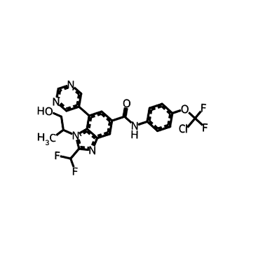 CC(CO)n1c(C(F)F)nc2cc(C(=O)Nc3ccc(OC(F)(F)Cl)cc3)cc(-c3cncnc3)c21